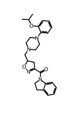 CC(C)Oc1ccccc1N1CCN(CC2CC(C(=O)N3CCc4ccccc43)=NO2)CC1